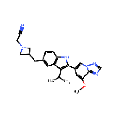 COc1cc(-c2[nH]c3ccc(CC4CN(CC#N)C4)cc3c2C(C)C)cn2ncnc12